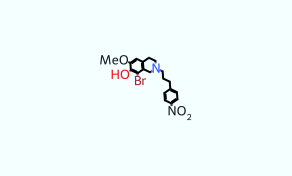 COc1cc2c(c(Br)c1O)CN(CCCc1ccc([N+](=O)[O-])cc1)CC2